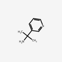 CC(C)(N)c1cccnc1